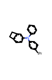 CC(C)c1ccc(N(c2ccccc2)c2ccc3c(c2)CC3)cc1